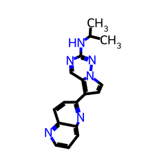 CC(C)Nc1ncc2c(-c3ccc4ncccc4n3)ccn2n1